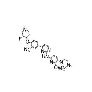 COc1nc(Nc2nccc(-c3ccc(OC4CCN(C)C[C@H]4F)c(C#N)c3)n2)ccc1N1CCN(C)CC1